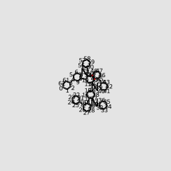 c1ccc(-c2ccc3c(c2)c2cc(N(c4ccc5c6c(-c7ccccc7)cccc6n(-c6ccccc6)c5c4)c4ccccc4-c4ccccc4)ccc2n3-c2ccccc2)cc1